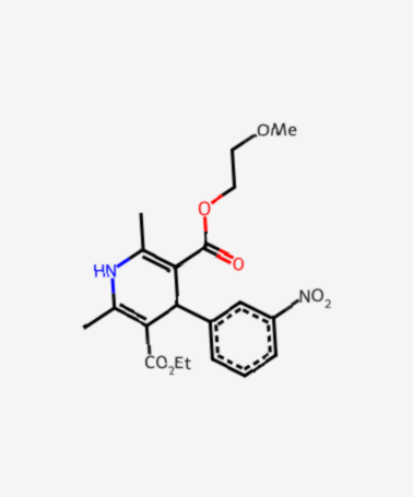 CCOC(=O)C1=C(C)NC(C)=C(C(=O)OCCOC)C1c1cccc([N+](=O)[O-])c1